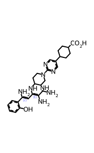 N=C(N)/C(N)=C(/C=C(\N)c1ccccc1O)NC1CCN(c2ncc(C3CCC(C(=O)O)CC3)cn2)CC1